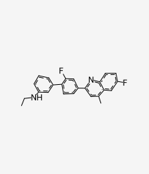 CCNc1cccc(-c2ccc(-c3cc(C)c4cc(F)ccc4n3)cc2F)c1